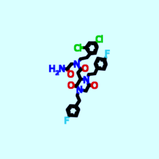 NC(=O)CN(CCc1ccc(Cl)cc1Cl)C(=O)CC1C(=O)N(CCc2ccc(F)cc2)CC(=O)N1CCc1ccc(F)cc1